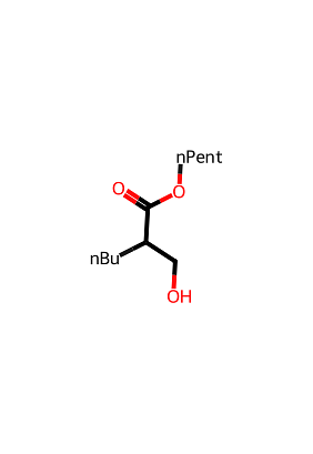 CCCCCOC(=O)C(CO)CCCC